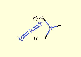 CN(C)[SiH3].[Li+].[N-]=[N+]=[N-]